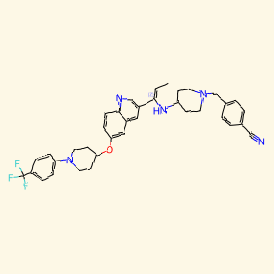 C/C=C(\NC1CCN(Cc2ccc(C#N)cc2)CC1)c1cnc2ccc(OC3CCN(c4ccc(C(F)(F)F)cc4)CC3)cc2c1